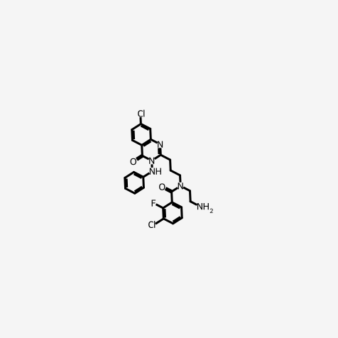 NCCN(CCCc1nc2cc(Cl)ccc2c(=O)n1Nc1ccccc1)C(=O)c1cccc(Cl)c1F